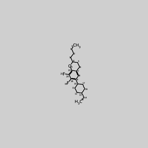 CCCCC1CCc2cc(C3CCC(CC)CC3)c(F)c(F)c2O1